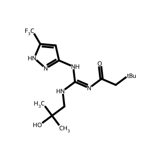 CC(C)(C)CC(=O)/N=C(/NCC(C)(C)O)Nc1cc(C(F)(F)F)[nH]n1